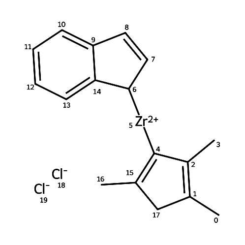 CC1=C(C)[C]([Zr+2][CH]2C=Cc3ccccc32)=C(C)C1.[Cl-].[Cl-]